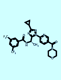 C[C@H](NC(=O)c1cc(C(F)(F)F)cc(C(F)(F)F)c1)c1nc(C2CC2)nn1-c1ccc(C(=O)N2CCOCC2)cn1